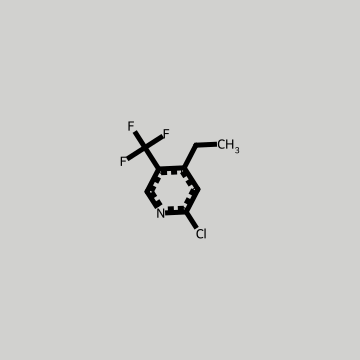 CCc1cc(Cl)ncc1C(F)(F)F